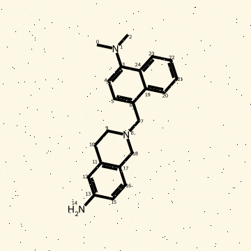 CN(C)c1ccc(CN2CCc3cc(N)ccc3C2)c2ccccc12